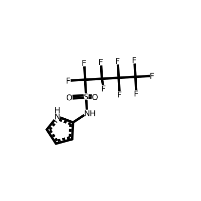 O=S(=O)(Nc1ccc[nH]1)C(F)(F)C(F)(F)C(F)(F)C(F)(F)F